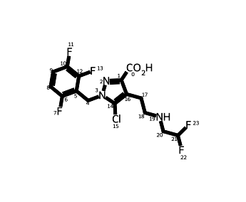 O=C(O)c1nn(Cc2c(F)ccc(F)c2F)c(Cl)c1CCNCC(F)F